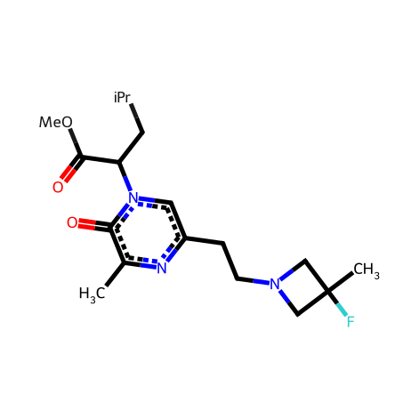 COC(=O)C(CC(C)C)n1cc(CCN2CC(C)(F)C2)nc(C)c1=O